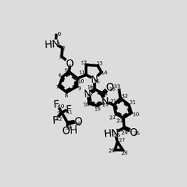 CNCCOc1ccccc1C1CCCN1c1nccn(-c2cc(C(=O)NC3CC3)ccc2C)c1=O.O=C(O)C(F)(F)F